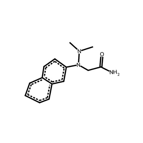 CN(C)N(CC(N)=O)c1ccc2ccccc2c1